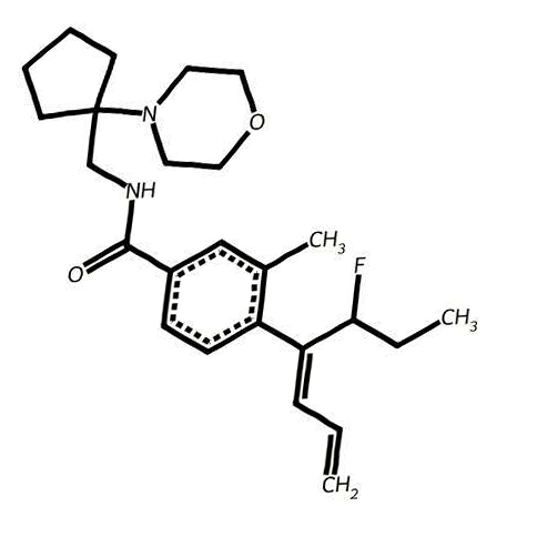 C=C/C=C(/c1ccc(C(=O)NCC2(N3CCOCC3)CCCC2)cc1C)C(F)CC